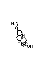 C[C@]12CC[C@@H]3c4ccc(OCN)cc4CC[C@H]3[C@@H]1CC[C@@H]2O